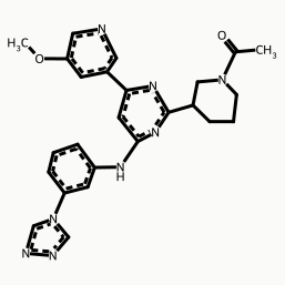 COc1cncc(-c2cc(Nc3cccc(-n4cnnc4)c3)nc(C3CCCN(C(C)=O)C3)n2)c1